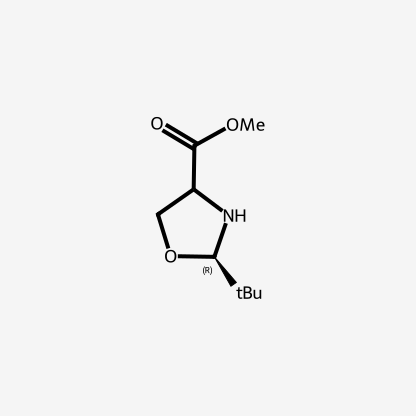 COC(=O)C1CO[C@H](C(C)(C)C)N1